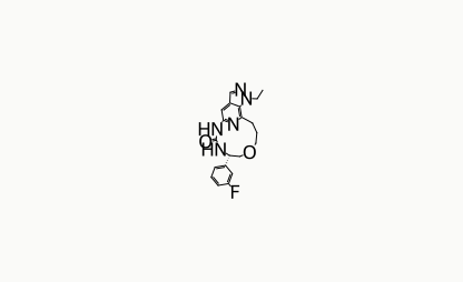 CCn1ncc2cc3nc(c21)CCCOC[C@H](c1cccc(F)c1)NC(=O)N3